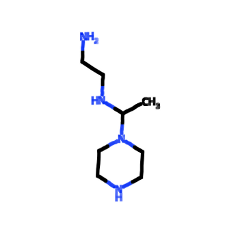 CC(NCCN)N1CCNCC1